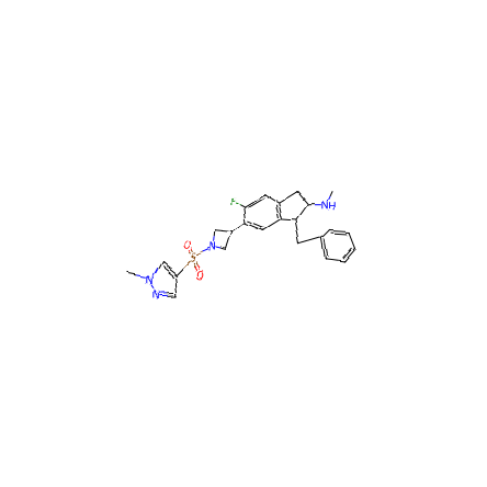 CNC1Cc2cc(F)c(C3CN(S(=O)(=O)c4cnn(C)c4)C3)cc2C1Cc1ccccc1